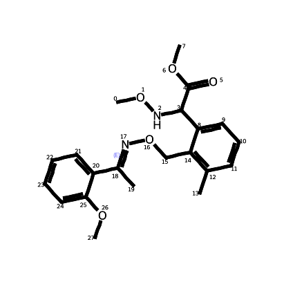 CONC(C(=O)OC)c1cccc(C)c1CO/N=C(\C)c1ccccc1OC